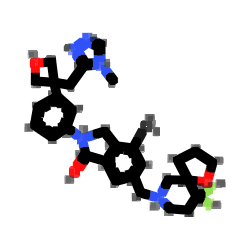 Cn1cnnc1CC1(c2cccc(N3Cc4c(cc(CN5CCC(F)(F)C6(CCCO6)C5)cc4C(F)(F)F)C3=O)c2)COC1